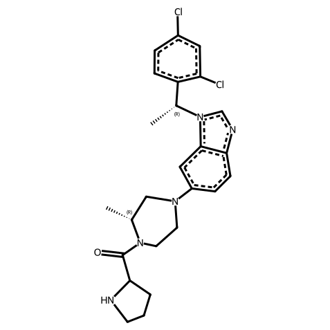 C[C@@H]1CN(c2ccc3ncn([C@H](C)c4ccc(Cl)cc4Cl)c3c2)CCN1C(=O)C1CCCN1